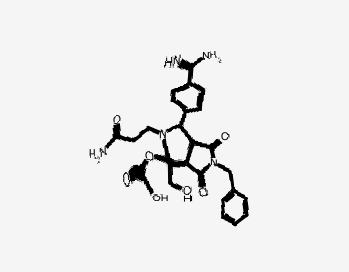 N=C(N)c1ccc(C2C3C(=O)N(Cc4ccccc4)C(=O)C3C(CO)(OC(=O)O)N2CCC(N)=O)cc1